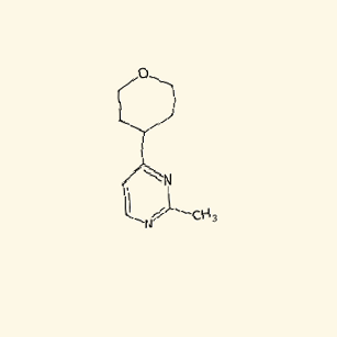 Cc1nccc(C2CCOCC2)n1